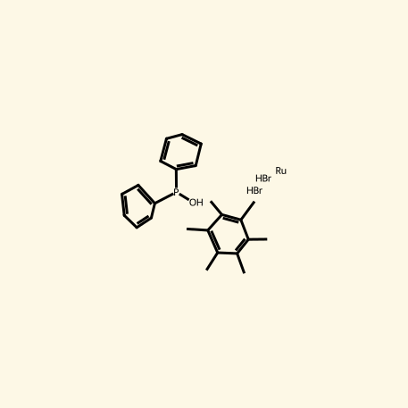 Br.Br.Cc1c(C)c(C)c(C)c(C)c1C.OP(c1ccccc1)c1ccccc1.[Ru]